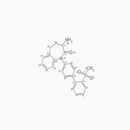 CS(=O)(=O)c1ccccc1-c1ccc(N2C(=O)C(N)CCc3ccccc32)cc1